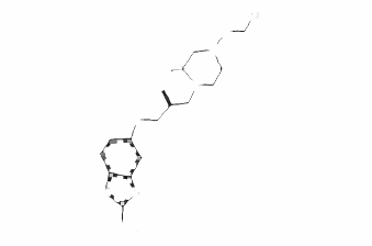 Cc1nc2cc(OCC(=O)CN3CCB(OCN)C[C@@H]3C)ccc2s1